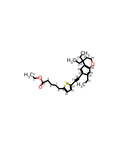 CCOC(=O)CCCCc1ccc(C#Cc2cc3c(cc2CC)OCCC3(CC)CC)s1